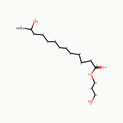 CCCCCCC(O)CCCCCCCCCCC(=O)OCCCO